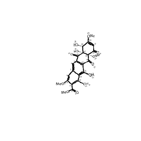 COC(=O)c1c(OC)cc2cc3c(c(O)c2c1C)C(=O)[C@]1(OC)C(=O)C=C(OC)[C@@H](O)[C@]1(O)C3=O